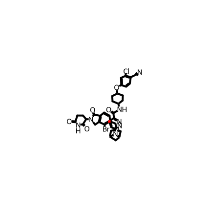 N#Cc1ccc(OC2CCC(NC(=O)c3ccc(N4C5CC4CN(Cc4ccc6c(c4Br)CN(C4CCC(=O)NC4=O)C6=O)C5)nn3)CC2)cc1Cl